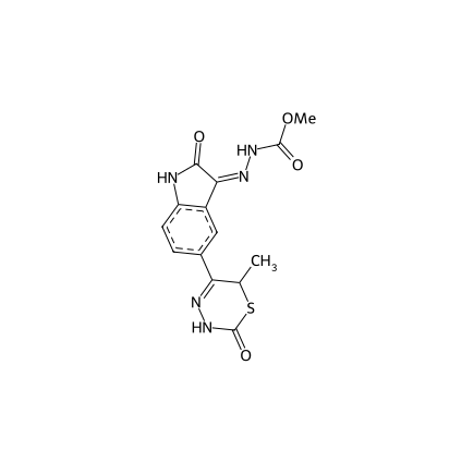 COC(=O)NN=C1C(=O)Nc2ccc(C3=NNC(=O)SC3C)cc21